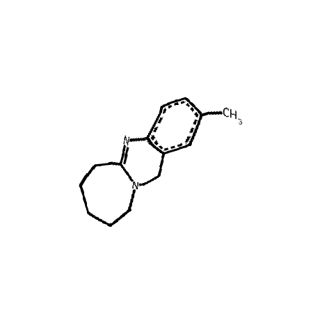 Cc1ccc2c(c1)CN1CCCCCC1=N2